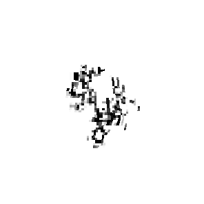 Cc1cn([C@H]2O[C@@H](CO[P@](=O)(N[C@@H](C)C(=O)OC(C)C)Oc3ccccc3)C(O)[C@H]2C#N)c(=O)[nH]c1=S